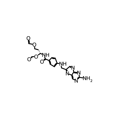 Nc1ncc2nc(CNc3ccc(C(=O)N[C@@H](CCOC=O)OC=O)cc3)cnc2n1